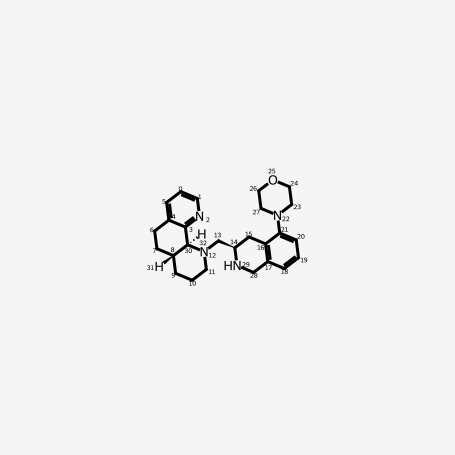 c1cnc2c(c1)CC[C@H]1CCCN(C[C@H]3Cc4c(cccc4N4CCOCC4)CN3)[C@H]21